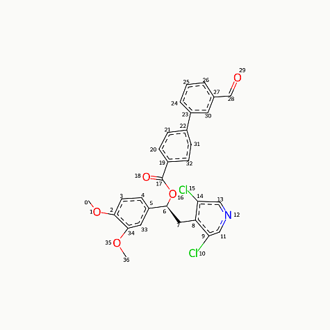 COc1ccc([C@H](Cc2c(Cl)cncc2Cl)OC(=O)c2ccc(-c3cccc(C=O)c3)cc2)cc1OC